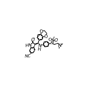 CN(C)CCN(c1ccc(NC(=C2C(=O)Nc3cc(C#N)ccc32)c2ccc3c(c2)OCCO3)cc1)S(C)(=O)=O